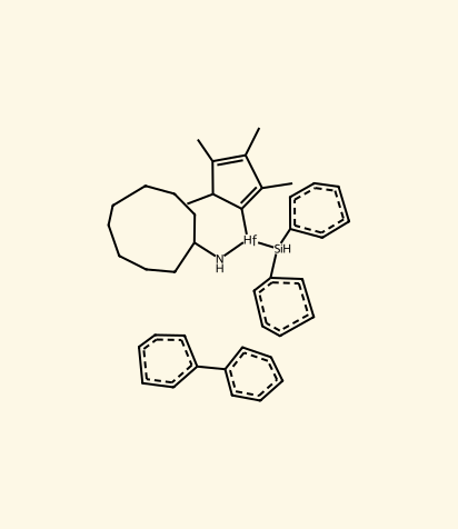 CC1=C(C)C(C)[C]([Hf]([NH]C2CCCCCCCC2)[SiH](c2ccccc2)c2ccccc2)=C1C.c1ccc(-c2ccccc2)cc1